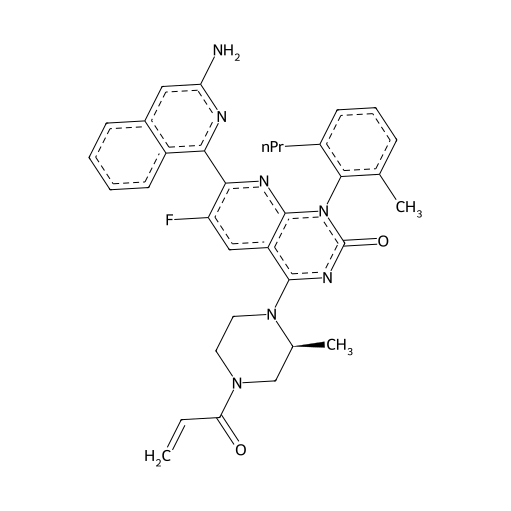 C=CC(=O)N1CCN(c2nc(=O)n(-c3c(C)cccc3CCC)c3nc(-c4nc(N)cc5ccccc45)c(F)cc23)[C@@H](C)C1